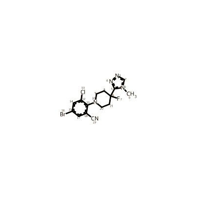 Cn1cnnc1C1(F)CCN(c2c(Cl)cc(Br)cc2C#N)CC1